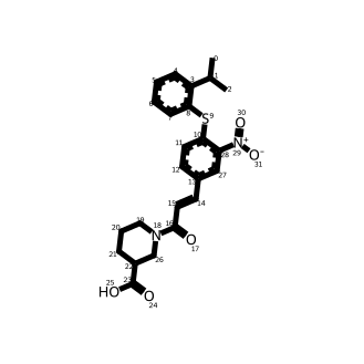 CC(C)c1ccccc1Sc1ccc(C=CC(=O)N2CCCC(C(=O)O)C2)cc1[N+](=O)[O-]